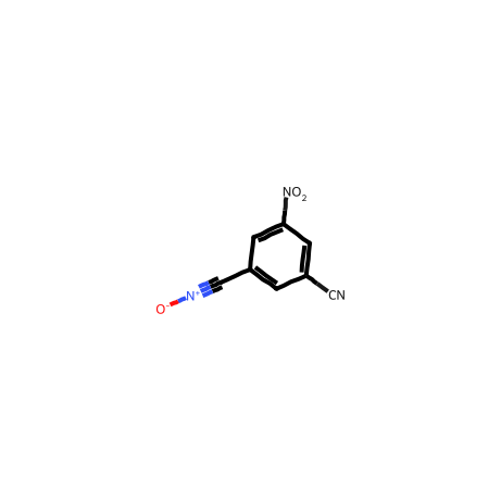 N#Cc1cc(C#[N+][O-])cc([N+](=O)[O-])c1